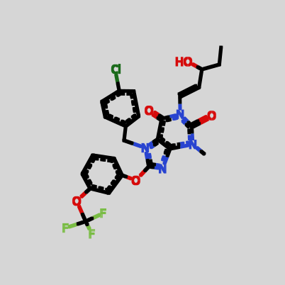 CCC(O)/C=C/n1c(=O)c2c(nc(Oc3cccc(OC(F)(F)F)c3)n2Cc2ccc(Cl)cc2)n(C)c1=O